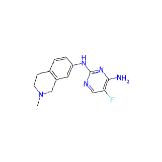 CN1CCc2ccc(Nc3ncc(F)c(N)n3)cc2C1